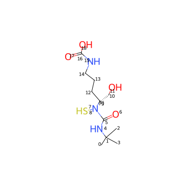 CC(C)(C)NC(=O)N(S)[C@@H](CO)CCCNC(=O)O